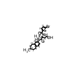 CN1CCc2ccc(NC(=O)C(C)(CCO)NC(=O)c3ccc(Br)s3)cc2CC1